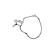 O=CC(=O)C1CCCCCCCCCCCCOCCO1